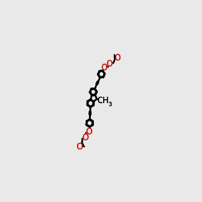 CC1c2cc(C#Cc3ccc(OCOCC4CO4)cc3)ccc2-c2ccc(C#Cc3ccc(OCOCC4CO4)cc3)cc21